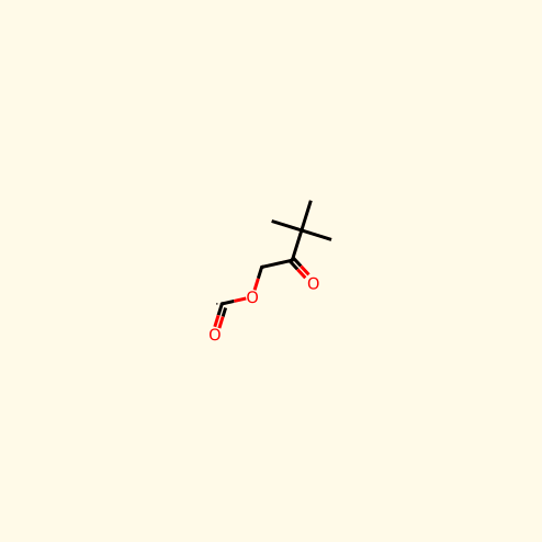 CC(C)(C)C(=O)CO[C]=O